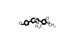 COc1cc(C)c(-c2cn3ccc(-c4ccc(C=O)cc4)cc3n2)cc1Cl